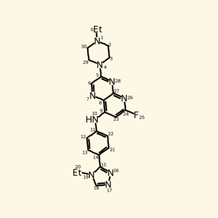 CCN1CCN(c2cnc3c(Nc4ccc(-c5nncn5CC)cc4)cc(F)nc3n2)CC1